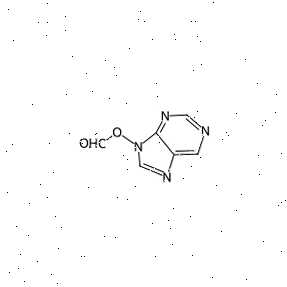 O=COn1cnc2cncnc21